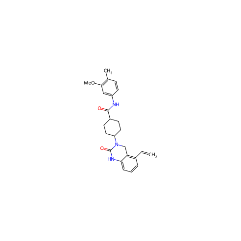 C=Cc1cccc2c1CN(C1CCC(C(=O)Nc3ccc(C)c(OC)c3)CC1)C(=O)N2